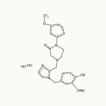 COc1cc(Cn2ccnc2CN2CCN(c3cccc(OC(F)(F)F)c3)C(=O)C2)ccc1C#N.Cl.Cl